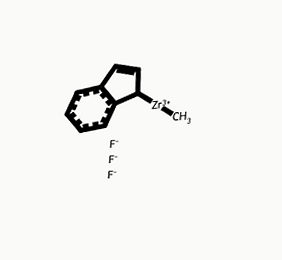 [CH3][Zr+3][CH]1C=Cc2ccccc21.[F-].[F-].[F-]